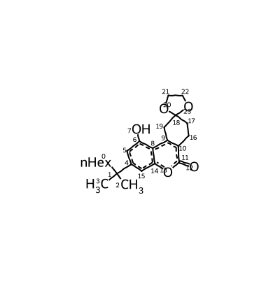 CCCCCCC(C)(C)c1cc(O)c2c3c(c(=O)oc2c1)CCC1(C3)OCCO1